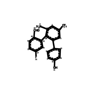 Nc1cc(C(F)(F)F)cc(-c2ccc(O)cc2)c1-c1cc(F)ccc1C=O